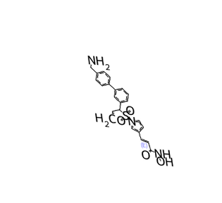 C=CC(c1cccc(-c2ccc(CN)cc2)c1)S(=O)(=O)n1ccc(/C=C/C(=O)NO)c1